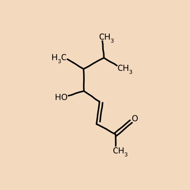 CC(=O)/C=C/C(O)C(C)C(C)C